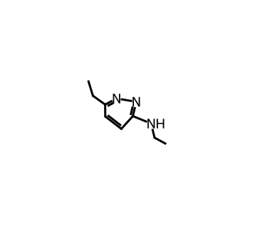 CCNc1ccc(CC)nn1